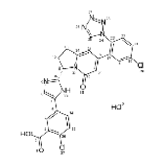 Cl.O=C(O)c1cc(-c2cnc([C@@H]3CCc4cc(-c5cc(Cl)ccc5-n5cnnn5)cc(=O)n43)[nH]2)ccc1Cl